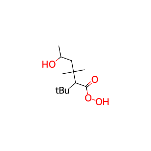 CC(O)CC(C)(C)C(C(=O)OO)C(C)(C)C